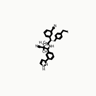 C[C@H](NC(c1cccc(-c2cc[nH]n2)c1)C(C)(C)C#N)[C@@H](Cc1ccc(CI)cc1)c1cccc(C#N)c1